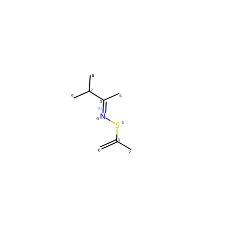 C=C(C)S/N=C(\C)C(C)C